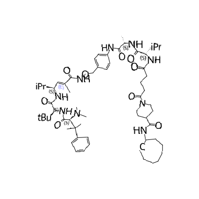 C/C(=C\[C@@H](NC(=O)[C@@H](NC(=O)[C@@H](N(C)C)C(C)(C)c1ccccc1)C(C)(C)C)C(C)C)C(=O)NOCc1ccc(NC(=O)[C@H](C)NC(=O)[C@@H](NC(=O)CCCC(=O)N2CCC(C(=O)NC3CCCCCCCC3)CC2)C(C)C)cc1